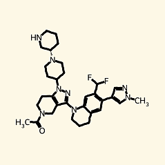 CC(=O)N1CCc2c(c(N3CCCc4cc(-c5cnn(C)c5)c(C(F)F)cc43)nn2C2CCN([C@H]3CCCNC3)CC2)C1